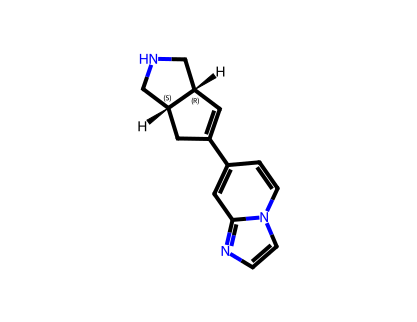 C1=C(c2ccn3ccnc3c2)C[C@@H]2CNC[C@H]12